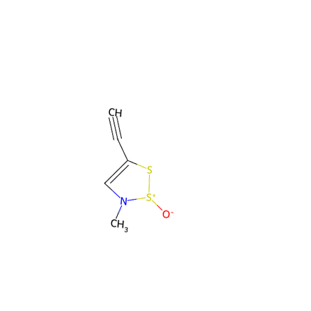 C#CC1=CN(C)[S+]([O-])S1